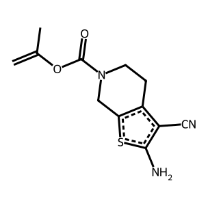 C=C(C)OC(=O)N1CCc2c(sc(N)c2C#N)C1